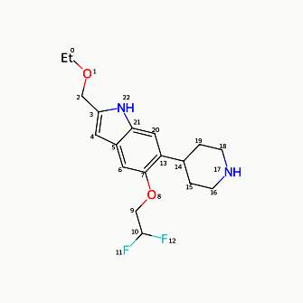 CCOCc1cc2cc(OCC(F)F)c(C3CCNCC3)cc2[nH]1